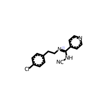 N#CN/C(=N\CCc1ccc(Cl)cc1)c1ccncc1